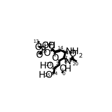 CO[C@@H]([C@@H]1OC(C(=O)OP(=O)(O)OC)=C[C@H](N)[C@H]1NC(C)=O)[C@H](O)CO